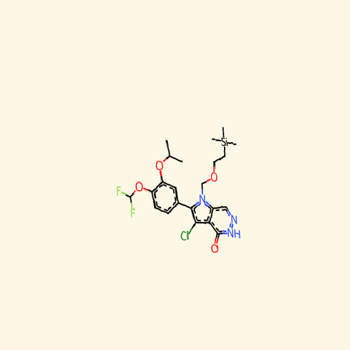 CC(C)Oc1cc(-c2c(Cl)c3c(=O)[nH]ncc3n2COCC[Si](C)(C)C)ccc1OC(F)F